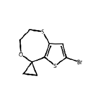 Brc1cc2c(s1)C1(CC1)OCCS2